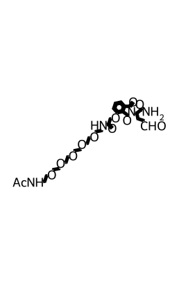 CC(=O)NCCOCCOCCOCCOCCOCCNC(=O)COc1cccc2c1C(=O)N(C(CCC=O)C(N)=O)C2=O